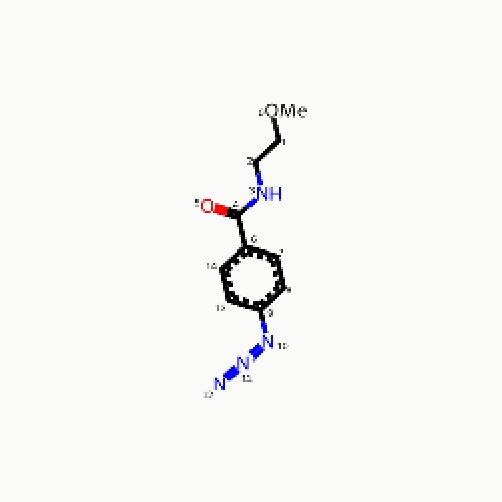 COCCNC(=O)c1ccc(N=[N+]=[N-])cc1